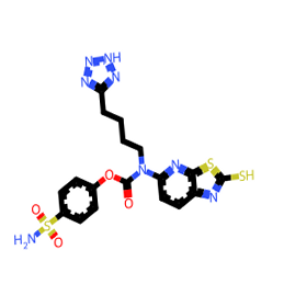 NS(=O)(=O)c1ccc(OC(=O)N(CCCCc2nn[nH]n2)c2ccc3nc(S)sc3n2)cc1